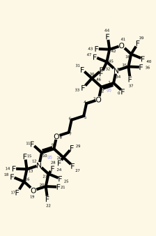 F/C(=C(\OCCCCO/C(=C(\F)N1C(F)(F)C(F)(F)OC(F)(F)C1(F)F)C(F)(F)F)C(F)(F)F)N1C(F)(F)C(F)(F)OC(F)(F)C1(F)F